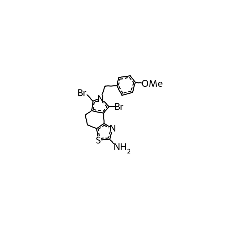 COc1ccc(Cn2c(Br)c3c(c2Br)-c2nc(N)sc2CC3)cc1